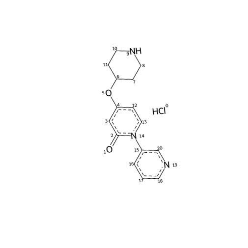 Cl.O=c1cc(OC2CCNCC2)ccn1-c1cccnc1